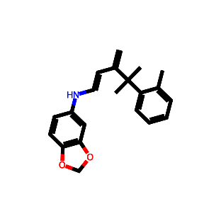 C=C(C=CNc1ccc2c(c1)OCO2)C(C)(C)c1ccccc1C